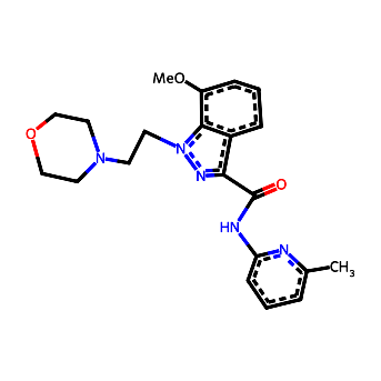 COc1cccc2c(C(=O)Nc3cccc(C)n3)nn(CCN3CCOCC3)c12